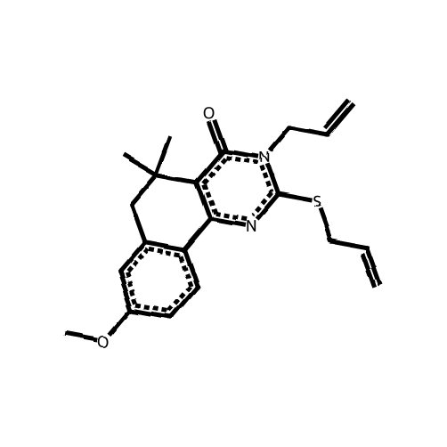 C=CCSc1nc2c(c(=O)n1CC=C)C(C)(C)Cc1cc(OC)ccc1-2